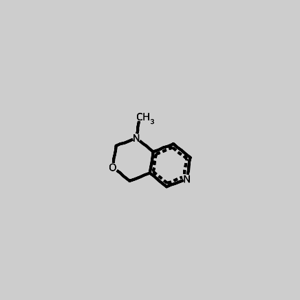 CN1COCc2cnccc21